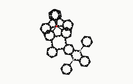 c1ccc(-n2c3ccccc3n(-c3ccccc3)c3cc4c(cc32)c2ccccc2c2cccc(-n3c5ccccc5c5ccccc53)c2c2c(-n3c5ccccc5c5ccccc53)cccc42)cc1